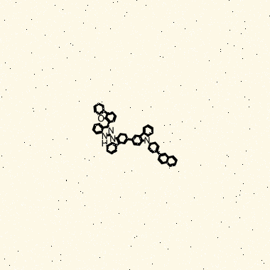 C1=CCC2C(=C1)c1cc(C3=Cc4c5c(n(C6N=C(c7cccc8c9c(oc78)C=CCC9)c7ccccc7N6)c4CC3)CCC=C5)ccc1N2C1C=CC(C2=CC3C=CC=CC3C=C2)=CC1